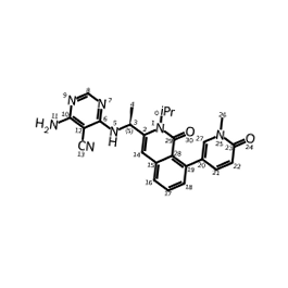 CC(C)n1c([C@H](C)Nc2ncnc(N)c2C#N)cc2cccc(-c3ccc(=O)n(C)c3)c2c1=O